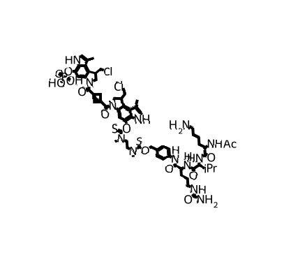 CC(=O)NC(CCCCN)C(=O)NC(C(=O)NC(CCCNC(N)=O)C(=O)Nc1ccc(COC(=S)N(C)CCN(C)C(=S)Oc2cc3c(c4c(C)c[nH]c24)C(CCl)CN3C(=O)C23CC(C(=O)N4CC(CCl)c5c4cc(OP(=O)(O)O)c4[nH]cc(C)c54)(C2)C3)cc1)C(C)C